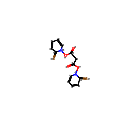 O=C(CC(=O)On1ccccc1=S)On1ccccc1=S